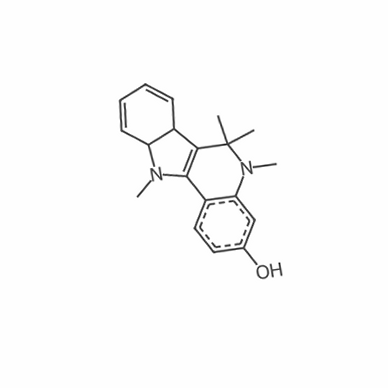 CN1C2=C(C3C=CC=CC31)C(C)(C)N(C)c1cc(O)ccc12